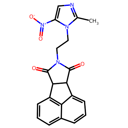 Cc1ncc([N+](=O)[O-])n1CCN1C(=O)C2c3cccc4cccc(c34)C2C1=O